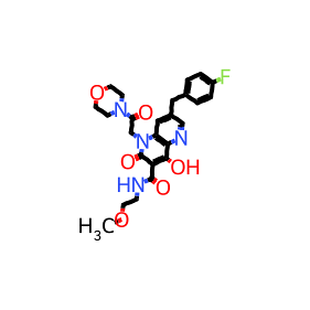 COCCNC(=O)c1c(O)c2ncc(Cc3ccc(F)cc3)cc2n(CC(=O)N2CCOCC2)c1=O